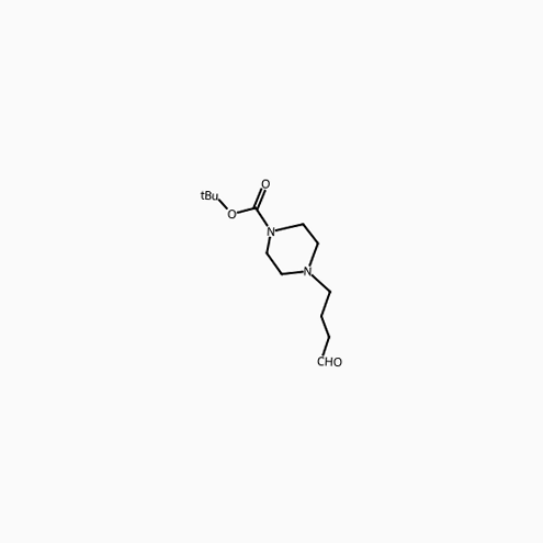 CC(C)(C)OC(=O)N1CCN(CCCC=O)CC1